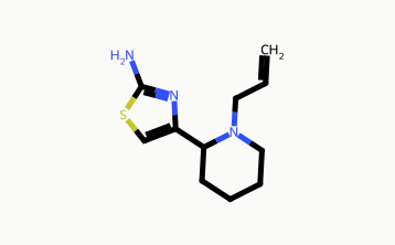 C=CCN1CCCCC1c1csc(N)n1